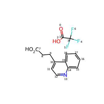 O=C(O)C(F)(F)F.O=C(O)CCc1ccnc2ccccc12